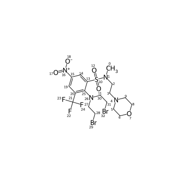 CN(CCN1CCOCC1)S(=O)(=O)c1cc([N+](=O)[O-])cc(C(F)(F)F)c1N(CCBr)CCBr